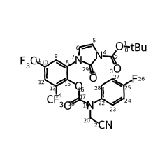 CC(C)(C)OC(=O)n1ccn(-c2cc(C(F)(F)F)cc(C(F)(F)F)c2OC(=O)N(CC#N)c2ccc(F)cc2)c1=O